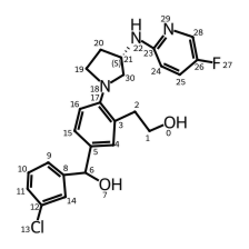 OCCc1cc(C(O)c2cccc(Cl)c2)ccc1N1CC[C@H](Nc2ccc(F)cn2)C1